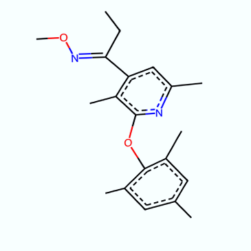 CCC(=NOC)c1cc(C)nc(Oc2c(C)cc(C)cc2C)c1C